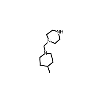 CC1CCN(CN2CCNCC2)CC1